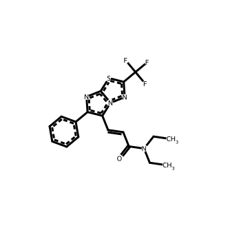 CCN(CC)C(=O)/C=C/c1c(-c2ccccc2)nc2sc(C(F)(F)F)nn12